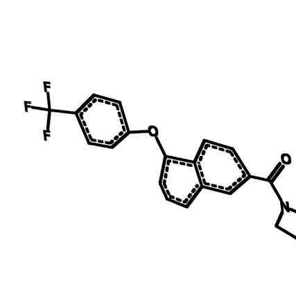 O=C(c1ccc2c(Oc3ccc(C(F)(F)F)cc3)cccc2c1)N1CCC1